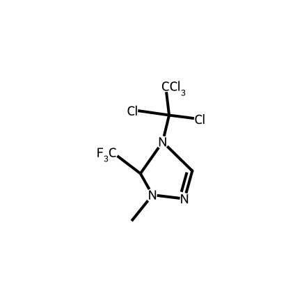 CN1N=CN(C(Cl)(Cl)C(Cl)(Cl)Cl)C1C(F)(F)F